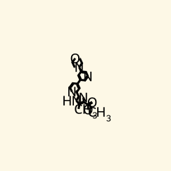 COC(=O)c1nc(-c2cc(-c3cncc(N4CCOCC4)c3)ccn2)[nH]c1C